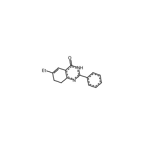 CCC1=Cc2c(nc(-c3ccccc3)[nH]c2=O)CC1